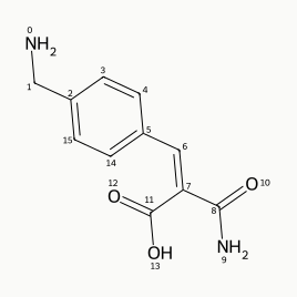 NCc1ccc(C=C(C(N)=O)C(=O)O)cc1